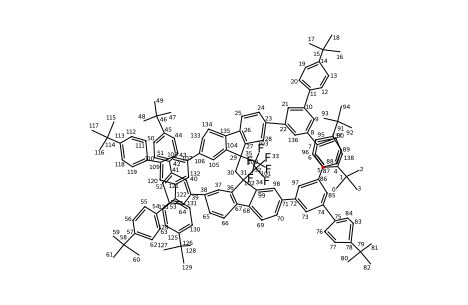 CC(C)(C)c1ccc(-c2cc(-c3ccc(C(C)(C)C)cc3)cc(-c3ccc4c(c3)C(CC3(C(F)(F)F)c5cc(-c6cc(-c7ccc(C(C)(C)C)cc7)cc(-c7ccc(C(C)(C)C)cc7)c6)ccc5-c5ccc(-c6cc(-c7ccc(C(C)(C)C)cc7)cc(-c7ccc(C(C)(C)C)cc7)c6)cc53)(C(F)(F)F)c3cc(-c5cc(-c6ccc(C(C)(C)C)cc6)cc(-c6ccc(C(C)(C)C)cc6)c5)ccc3-4)c2)cc1